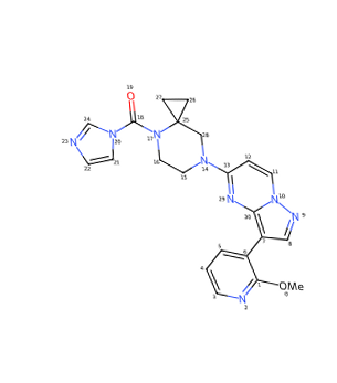 COc1ncccc1-c1cnn2ccc(N3CCN(C(=O)n4ccnc4)C4(CC4)C3)nc12